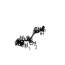 COc1cc(C2NC(=O)c3ccccc3N2)ccc1OCCCCCCOc1c(OC)cc(C=Cc2cc(OC)c(OC)c(OC)c2)cc1OC